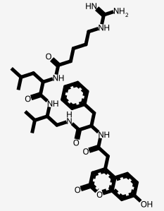 CC(C)CC(NC(=O)CCCCNC(=N)N)C(=O)NC(CNC(=O)C(Cc1ccccc1)NC(=O)Cc1cc(=O)oc2cc(O)ccc12)C(C)C